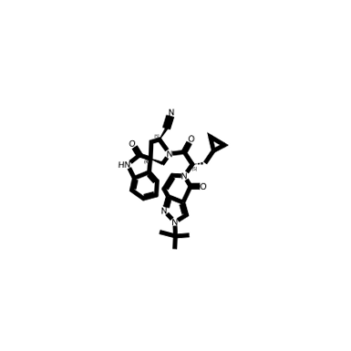 CC(C)(C)n1cc2c(=O)n([C@@H](CC3CC3)C(=O)N3C[C@]4(C[C@H]3C#N)C(=O)Nc3ccccc34)ccc2n1